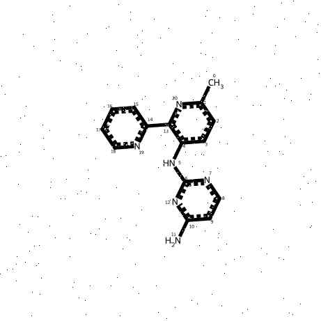 Cc1ccc(Nc2nccc(N)n2)c(-c2ccccn2)n1